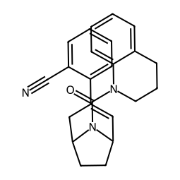 N#Cc1ccccc1C1=CC2CCC(C1)N2C(=O)N1CCCc2ccccc21